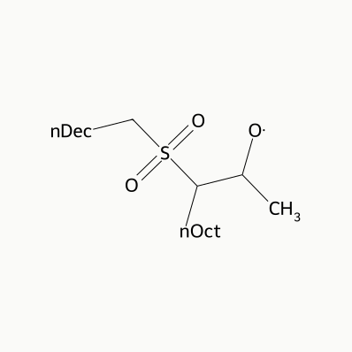 CCCCCCCCCCCS(=O)(=O)C(CCCCCCCC)C(C)[O]